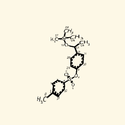 Cc1ccc(S(=O)(=O)Oc2ccc(C(C)O[Si](C)(C)C)cc2)cc1